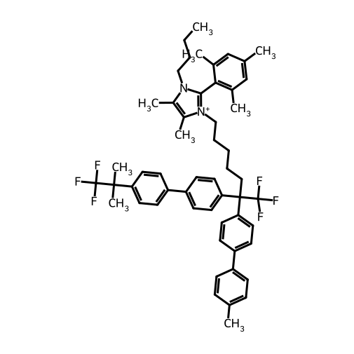 CCCCn1c(C)c(C)[n+](CCCCCC(c2ccc(-c3ccc(C)cc3)cc2)(c2ccc(-c3ccc(C(C)(C)C(F)(F)F)cc3)cc2)C(F)(F)F)c1-c1c(C)cc(C)cc1C